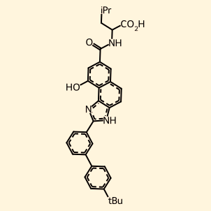 CC(C)CC(NC(=O)c1cc(O)c2c(ccc3[nH]c(-c4cccc(-c5ccc(C(C)(C)C)cc5)c4)nc32)c1)C(=O)O